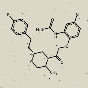 CC1CO[C@@H](CCc2ccc(F)cc2)CN1C(=O)COc1ccc(Cl)cc1NC(N)=O